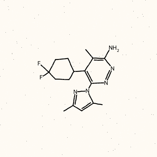 Cc1cc(C)n(-c2nnc(N)c(C)c2C2CCC(F)(F)CC2)n1